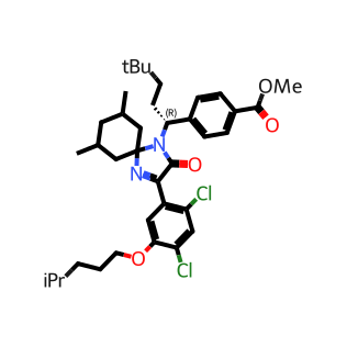 COC(=O)c1ccc([C@@H](CCC(C)(C)C)N2C(=O)C(c3cc(OCCCC(C)C)c(Cl)cc3Cl)=NC23CC(C)CC(C)C3)cc1